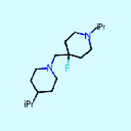 CC(C)C1CCN(CC2(F)CCN(C(C)C)CC2)CC1